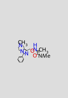 CNC(=O)[C@H](C)NOCc1nc(-c2ccccc2)n2c1CN(C)CC2